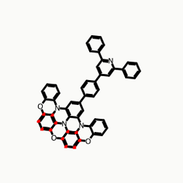 c1ccc(-c2cc(-c3ccc(-c4cc(N5c6ccccc6Oc6ccccc65)c(N5c6ccccc6Oc6ccccc65)c(N5c6ccccc6Oc6ccccc65)c4)cc3)cc(-c3ccccc3)n2)cc1